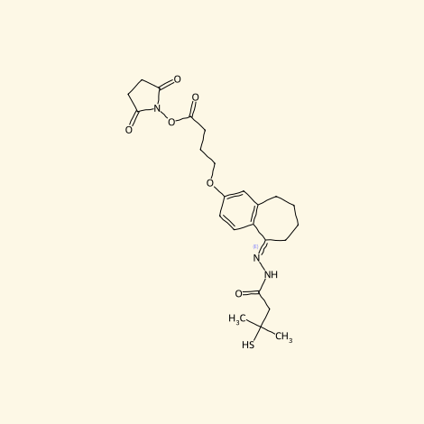 CC(C)(S)CC(=O)N/N=C1\CCCCc2cc(OCCCC(=O)ON3C(=O)CCC3=O)ccc21